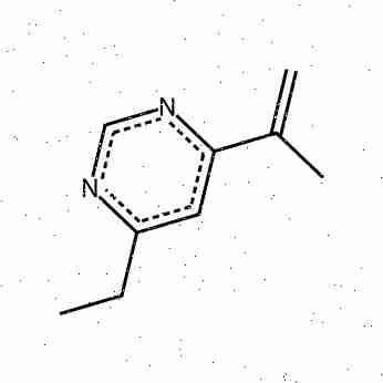 C=C(C)c1cc(CC)ncn1